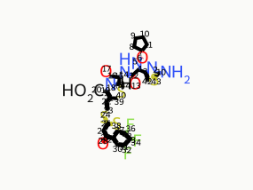 Nc1nc(C(=NOC2CCCC2)C(=O)NC2C(=O)N3C(C(=O)O)=C(C=CSc4cc(=O)c5cc(F)c(F)c(F)c5s4)CS[C@@H]23)cs1